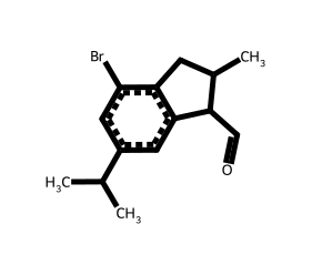 CC(C)c1cc(Br)c2c(c1)C(C=O)C(C)C2